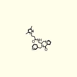 Cc1cc(C)n(CCC(=O)NCC2Cn3cccc3C(=O)N2Cc2cccnc2)n1